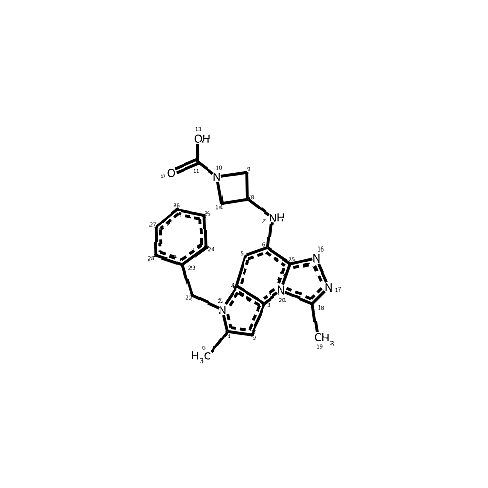 Cc1cc2c(cc(NC3CN(C(=O)O)C3)c3nnc(C)n32)n1Cc1ccccc1